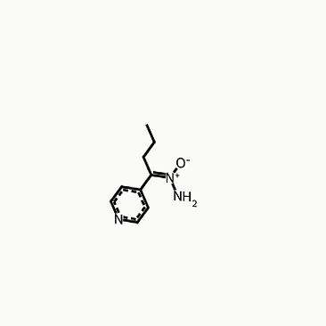 CCC/C(c1ccncc1)=[N+](/N)[O-]